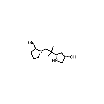 CC(C)(C)C1CCCN1CC(C)(C)C1CC(O)CN1